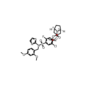 COc1ccc(CN(c2nccs2)S(=O)(=O)c2cc(Cl)c(O[C@@H]3C[C@H]4CC[C@@H](C3)N4C(=O)OC(C)(C)C)cc2F)c(OC)c1